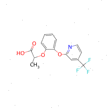 CC(Oc1ccccc1Oc1cc(C(F)(F)F)ccn1)C(=O)O